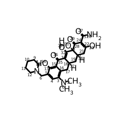 CN(C)c1cc(CN2CCCCC2)c(O)c2c1C[C@H]1C[C@H]3CC(O)=C(C(N)=O)C(=O)[C@@]3(O)C(O)=C1C2=O